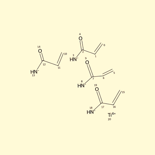 C=CC([NH-])=O.C=CC([NH-])=O.C=CC([NH-])=O.C=CC([NH-])=O.[Ti+4]